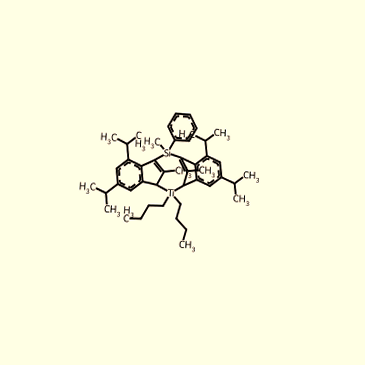 CCC[CH2][Ti]1([CH2]CCC)[CH]2C(C)=C(c3c(C(C)C)cc(C(C)C)cc32)[Si](C)(c2ccccc2)C2=C(C)[CH]1c1cc(C(C)C)cc(C(C)C)c12